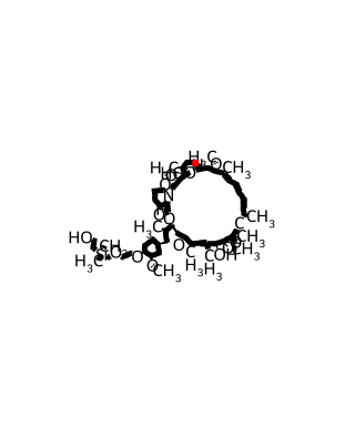 CO[C@H]1C[C@@H]2CC[C@@H](C)[C@@](O)(O2)C(=O)C(=O)N2CCCC[C@H]2C(=O)O[C@H]([C@H](C)C[C@@H]2CC[C@@H](OCCOC[Si](C)(C)CCO)[C@H](OC)C2)CC(=O)[C@H](C)/C=C(\C)[C@@H](O)[C@@H](OC)C(=O)[C@H](C)C[C@H](C)/C=C/C=C/C=C/1C